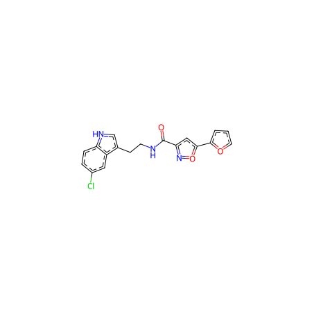 O=C(NCCc1c[nH]c2ccc(Cl)cc12)c1cc(-c2ccco2)on1